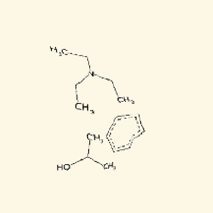 CC(C)O.CCN(CC)CC.c1ccccc1